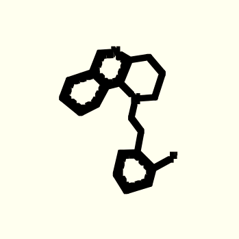 Fc1ccccc1CCN1CCCc2ncc3ccccc3c21